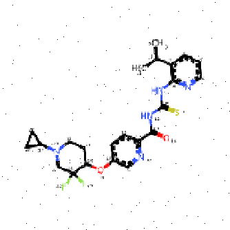 CC(C)c1cccnc1NC(=S)NC(=O)c1ccc(OC2CCN(C3CC3)CC2(F)F)cn1